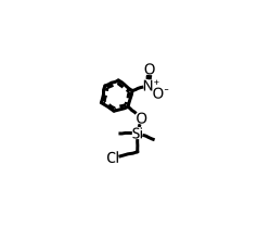 C[Si](C)(CCl)Oc1ccccc1[N+](=O)[O-]